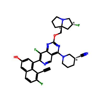 C#Cc1c(F)ccc2cc(O)cc(-c3ncc4c(N5CCC[C@@H](C#N)C5)nc(OC[C@@]56CCCN5C[C@H](F)C6)nc4c3F)c12